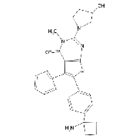 Cn1c(N2CCC(O)C2)nc2oc(-c3ccc(C4(N)CCC4)cc3)c(-c3ccccc3)c2c1=O